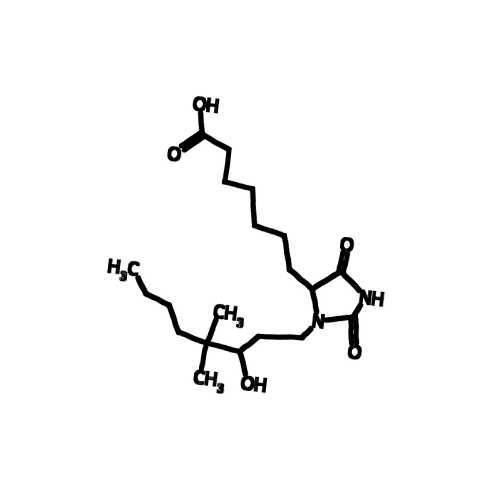 CCCCC(C)(C)C(O)CCN1C(=O)NC(=O)C1CCCCCCC(=O)O